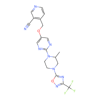 CC1CN(c2nc(C(F)(F)F)no2)CCN1c1ncc(OCc2ccncc2C#N)cn1